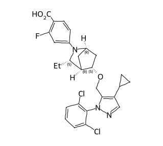 CC[C@H]1[C@H]2C[C@H](C[C@@H]2OCc2c(C3CC3)cnn2-c2c(Cl)cccc2Cl)N1c1ccc(C(=O)O)c(F)c1